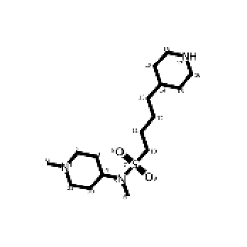 CN1CCC(N(C)S(=O)(=O)CCC[CH]C2CCNCC2)CC1